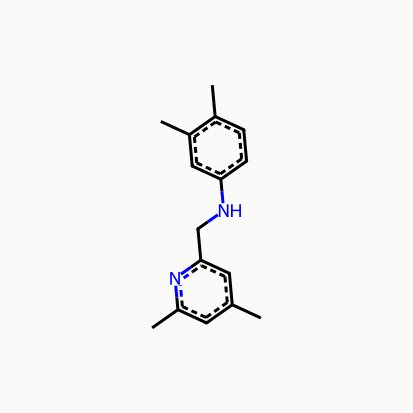 Cc1cc(C)nc(CNc2ccc(C)c(C)c2)c1